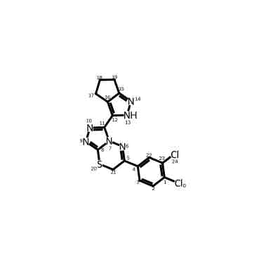 Clc1ccc(C2=Nn3c(nnc3-c3[nH]nc4c3CCC4)SC2)cc1Cl